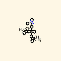 CC1(C)c2ccccc2-c2ccc(-c3c4ccccc4c(-c4ccc(-c5nc6ccccn6c5-c5ccccc5)cc4)c4cc5c(cc34)-c3ccccc3C5(C)C)cc21